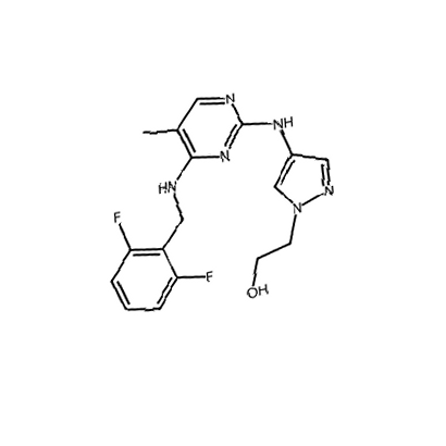 Cc1cnc(Nc2cnn(CCO)c2)nc1NCc1c(F)cccc1F